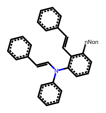 CCCCCCCCCc1cccc(N(C=Cc2ccccc2)c2ccccc2)c1C=Cc1ccccc1